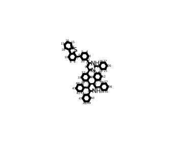 C1=C(c2cccc(-c3cccc4c3sc3ccccc34)c2)NC(c2ccccc2)N=C1c1cccc(C2=C(c3ccccc3)C(c3ccccc3)NC(c3ccccc3)=C2c2ccccc2)c1